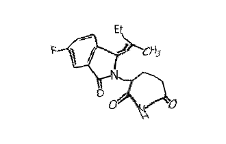 CC/C(C)=C1\c2ccc(F)cc2C(=O)N1C1CCC(=O)NC1=O